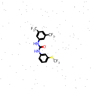 O=C(Nc1cccc(SC(F)(F)F)c1)Nc1cc(C(F)(F)F)cc(C(F)(F)F)c1